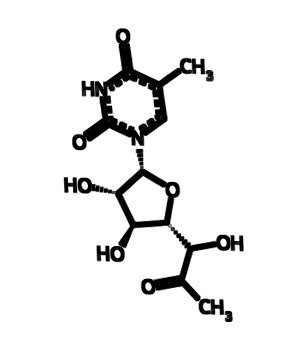 CC(=O)C(O)[C@H]1O[C@@H](n2cc(C)c(=O)[nH]c2=O)[C@@H](O)[C@@H]1O